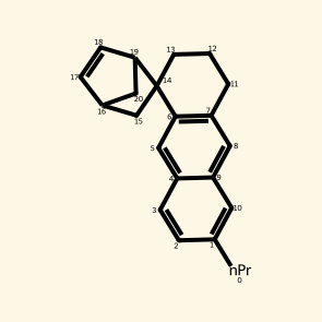 CCCc1ccc2cc3c(cc2c1)CCCC31CC2C=CC1C2